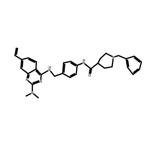 C=Cc1ccc2c(NCc3ccc(NC(=O)C4CCN(Cc5ccccc5)CC4)cc3)nc(N(C)C)nc2c1